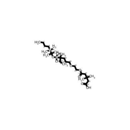 CCCC[Si](C)(C)C(C)(C)O[Si](C)(C)C(C)(CC)CCCOCCOC(=O)CC(C)(C)CC(=O)O